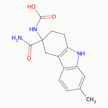 Cc1ccc2c3c([nH]c2c1)CCC(NC(=O)O)(C(N)=O)C3